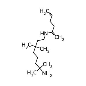 C=CCCC(=C)NCCC(C)(C)CCCC(C)(C)N